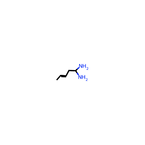 CC=CCC(N)N